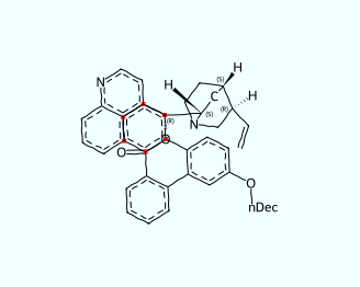 C=C[C@H]1CN2CC[C@H]1C[C@H]2[C@H](OC(=O)c1ccccc1-c1cc(OCCCCCCCCCC)ccc1-c1ccccc1)c1ccnc2ccccc12